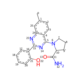 Cc1ccc2c(N3CC[CH]C3C(N)=O)nc(-c3ccccc3O)nc2c1